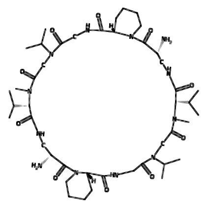 CC(C)[C@H]1C(=O)NC[C@@H](N)C(=O)N2CCCC[C@H]2C(=O)NCC(=O)N(C(C)C)CC(=O)N(C)[C@@H](C(C)C)C(=O)NC[C@@H](N)C(=O)N2CCCC[C@H]2C(=O)NCC(=O)N(C(C)C)CC(=O)N1C